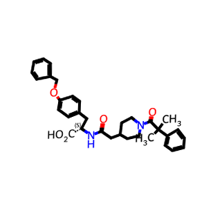 CC(C)(C(=O)N1CCC(CC(=O)N[C@@H](Cc2ccc(OCc3ccccc3)cc2)C(=O)O)CC1)c1ccccc1